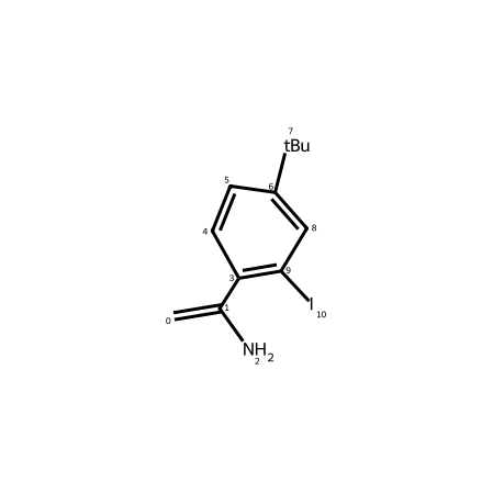 C=C(N)c1ccc(C(C)(C)C)cc1I